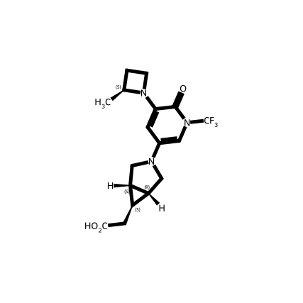 C[C@H]1CCN1c1cc(N2C[C@@H]3[C@@H](CC(=O)O)[C@@H]3C2)cn(C(F)(F)F)c1=O